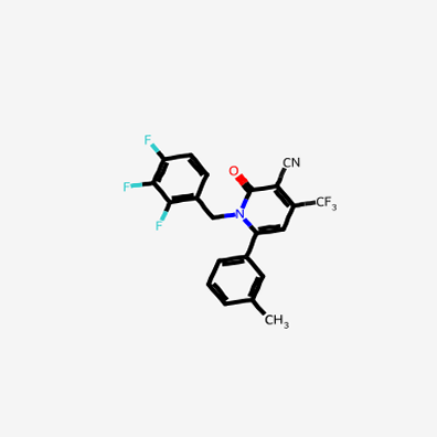 Cc1cccc(-c2cc(C(F)(F)F)c(C#N)c(=O)n2Cc2ccc(F)c(F)c2F)c1